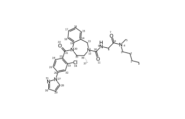 CCCCN(C)C(=O)CNC(=O)N1Cc2ccccc2N(C(=O)c2ccc(-n3cccn3)cc2Cl)C[C@H]1C